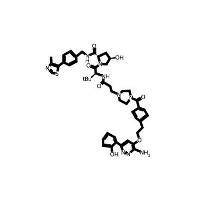 Cc1ncsc1-c1ccc(CNC(=O)[C@@H]2C[C@@H](O)CN2C(=O)[C@@H](NC(=O)CCN2CCN(C(=O)c3ccc(CCOc4cc(-c5ccccc5O)nnc4N)cc3)CC2)C(C)(C)C)cc1